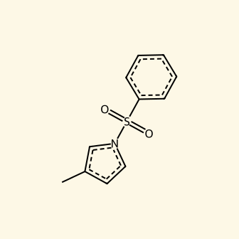 Cc1ccn(S(=O)(=O)c2ccccc2)c1